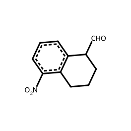 O=CC1CCCc2c1cccc2[N+](=O)[O-]